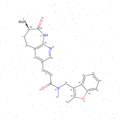 CN[C@@H]1CCc2cc(/C=C/C(=O)N(C)Cc3c(C)oc4ccccc34)cnc2NC1=O